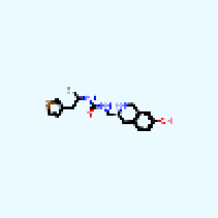 CCC(Cc1ccsc1)NC(=O)NC[C@@H]1Cc2ccc(O)cc2CN1